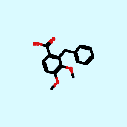 COc1ccc(C(=O)O)c(Cc2ccccc2)c1OC